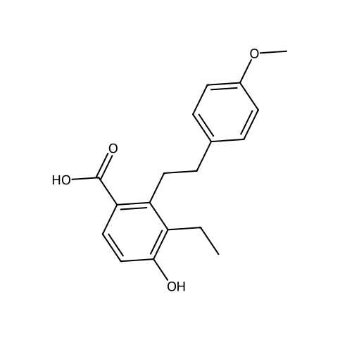 CCc1c(O)ccc(C(=O)O)c1CCc1ccc(OC)cc1